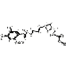 COc1cc(N)c(Cl)cc1C(=O)NCCCCN1CC[C@H](CNC(=O)OC(C)(C)C)C1